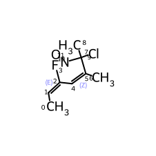 C/C=C(F)\C=C(\C)C(C)(Cl)N=O